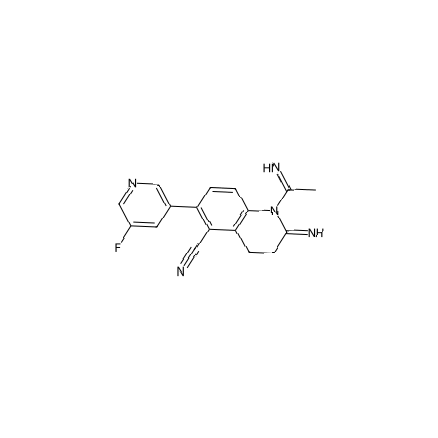 CC(=N)N1C(=N)CCc2c1ccc(-c1cncc(F)c1)c2C#N